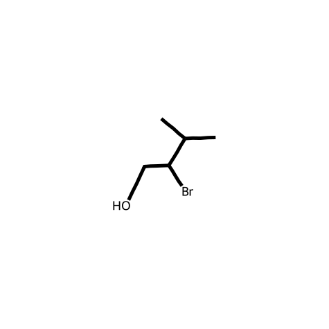 CC(C)C(Br)CO